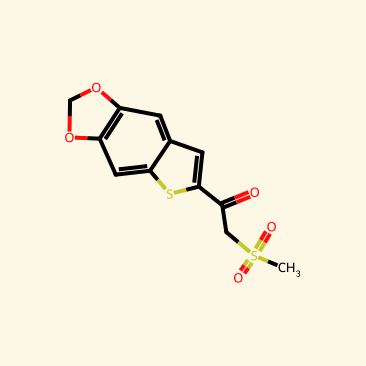 CS(=O)(=O)CC(=O)c1cc2cc3c(cc2s1)OCO3